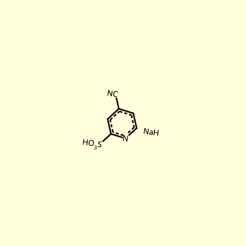 N#Cc1ccnc(S(=O)(=O)O)c1.[NaH]